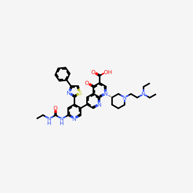 CCNC(=O)Nc1cc(-c2nc(-c3ccccc3)cs2)c(-c2cnc3c(c2)c(=O)c(C(=O)O)cn3[C@H]2CCCN(CCN(CC)CC)C2)cn1